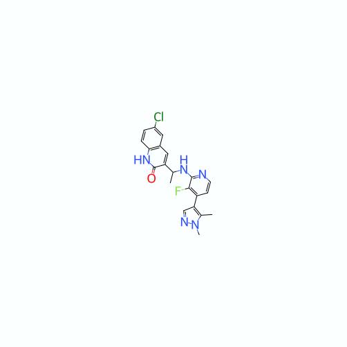 Cc1c(-c2ccnc(NC(C)c3cc4cc(Cl)ccc4[nH]c3=O)c2F)cnn1C